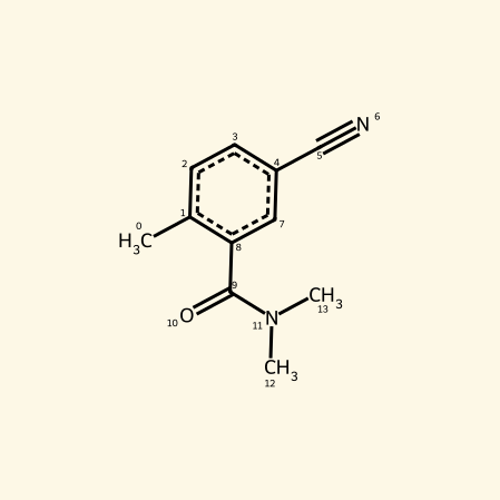 Cc1ccc(C#N)cc1C(=O)N(C)C